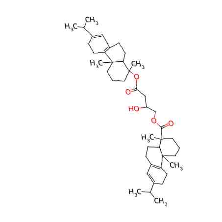 CC(C)C1=CC2=C(CC1)C1(C)CCCC(C)(OC(=O)CC(O)COC(=O)C3(C)CCCC4(C)C5=C(C=C(C(C)C)CC5)CCC34)C1CC2